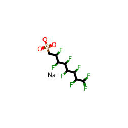 O=S(=O)([O-])CC(F)C(F)C(F)C(F)C(F)C(F)C(F)F.[Na+]